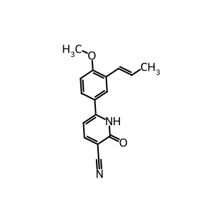 CC=Cc1cc(-c2ccc(C#N)c(=O)[nH]2)ccc1OC